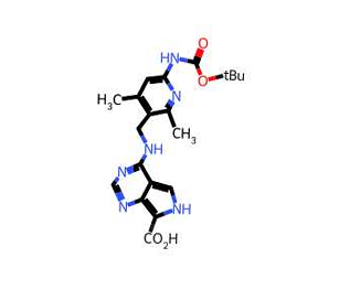 Cc1cc(NC(=O)OC(C)(C)C)nc(C)c1CNc1ncnc2c(C(=O)O)[nH]cc12